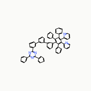 c1ccc(-c2nc(-c3ccccc3)nc(-c3cccc(-c4cccc(-c5cccc(-c6c(-c7ccccc7)c(-c7ccccc7)c(-c7ccccn7)c(-c7ccccn7)c6-c6ccccc6)c5)c4)c3)n2)cc1